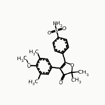 COc1c(C)cc(C2=C(c3ccc(S(N)(=O)=O)cc3)OC(C)(C)C2=O)cc1C